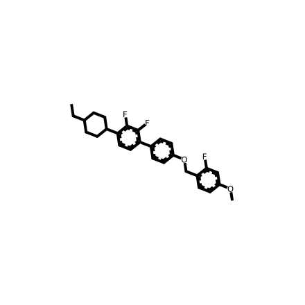 CCC1CCC(c2ccc(-c3ccc(OCc4ccc(OC)cc4F)cc3)c(F)c2F)CC1